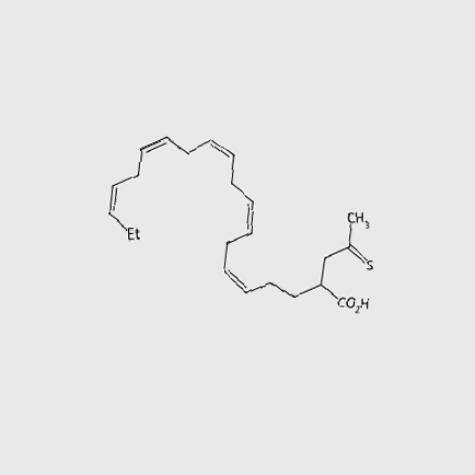 CC/C=C\C/C=C\C/C=C\C/C=C\C/C=C\CCC(CC(C)=S)C(=O)O